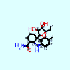 CCC1OC(C23CCCC(C(N)=O)=C2Nc2ccc(C)cc23)C(O)C1O